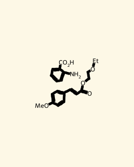 CCOCCOC(=O)C=Cc1ccc(OC)cc1.Nc1ccccc1C(=O)O